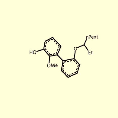 CCCCCC(CC)Oc1ccccc1-c1cccc(O)c1OC